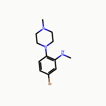 CNc1cc(Br)ccc1N1CCN(C)CC1